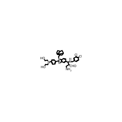 NCC(C=O)C(NCc1ccc(Cl)c(Cl)c1)c1ccc2c(c1)nc(-c1ccc(N(CCO)CCO)cc1)n2CC12CC3CC(CC(C3)C1)C2